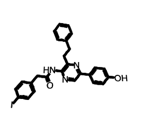 O=C(Cc1ccc(I)cc1)Nc1ncc(-c2ccc(O)cc2)nc1CCc1ccccc1